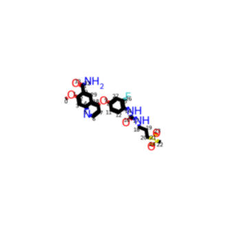 COc1cc2nccc(Oc3ccc(NC(=O)NCCCS(C)(=O)=O)c(F)c3)c2cc1C(N)=O